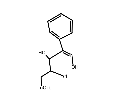 CCCCCCCCCC(Cl)C(O)C(=NO)c1ccccc1